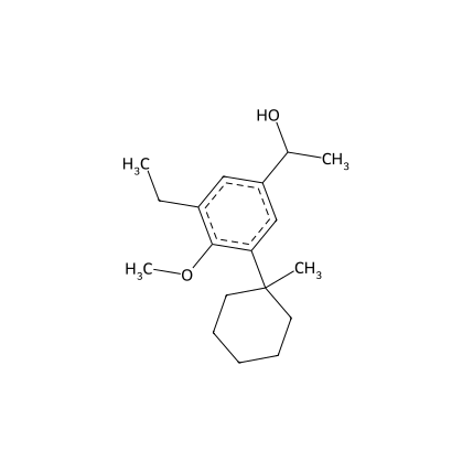 CCc1cc(C(C)O)cc(C2(C)CCCCC2)c1OC